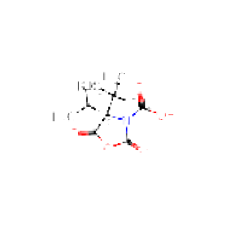 CC(C)[C@]1(C(C)(C)C)C(=O)OC(=O)N1C(=O)O